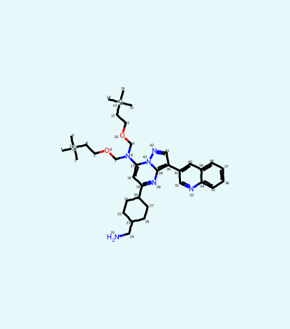 C[Si](C)(C)CCOCN(COCC[Si](C)(C)C)c1cc(C2CCC(CN)CC2)nc2c(-c3cnc4ccccc4c3)cnn12